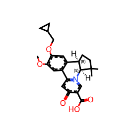 COc1cc2c(cc1OCC1CC1)[C@H]1CCC(C)(C)[C@H]1n1cc(C(=O)O)c(=O)cc1-2